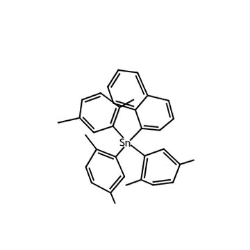 Cc1ccc(C)[c]([Sn]([c]2cc(C)ccc2C)([c]2cc(C)ccc2C)[c]2cccc3ccccc23)c1